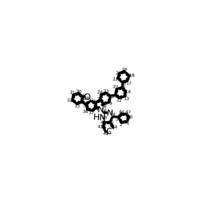 c1ccc(C2=NC(n3c4cc(-c5cccc(-c6ccccc6)c5)ccc4c4c5oc6ccccc6c5ccc43)Nc3ccccc32)cc1